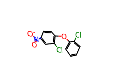 O=[N+]([O-])c1ccc(Oc2ccccc2Cl)c(Cl)c1